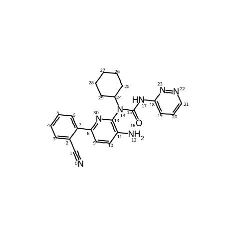 N#Cc1ccccc1-c1ccc(N)c(N(C(=O)Nc2cccnn2)C2CCCCC2)n1